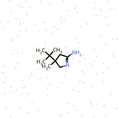 CC(C)(C)C1(C)CN=C(N)C1